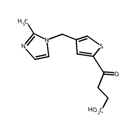 Cc1nccn1Cc1csc(C(=O)CCC(=O)O)c1